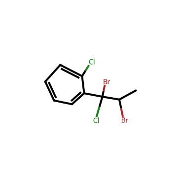 CC(Br)C(Cl)(Br)c1ccccc1Cl